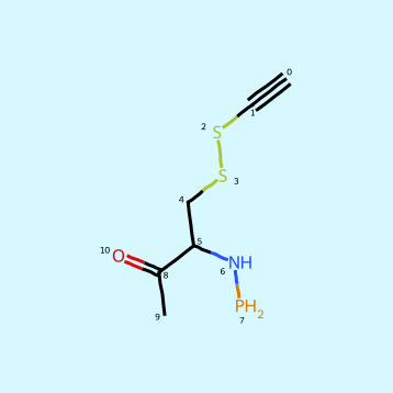 C#CSSCC(NP)C(C)=O